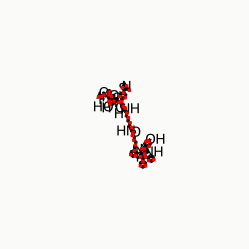 Cc1ncsc1-c1ccc([C@H](CC(=O)NCCCCCCCCNC(=O)CCCCC#Cc2cccc(Cn3c(-c4ccccc4)c(-c4ccccc4)c4c(=N)n(C5CCC(O)CC5)cnc43)c2)NC(=O)[C@@H]2C[C@@H](O)CN2C(=O)C(NC(=O)C2(F)CC2)C(C)(C)C)cc1